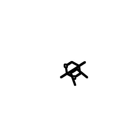 CC1=C(C)C2(C)OCC1(C)CO2